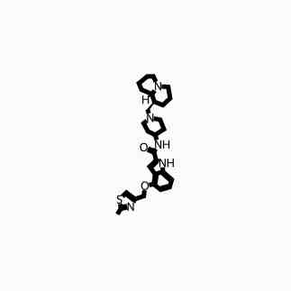 Cc1nc(COc2cccc3[nH]c(C(=O)NC4CCN(C[C@@H]5CCCN6CCCC[C@H]56)CC4)cc23)cs1